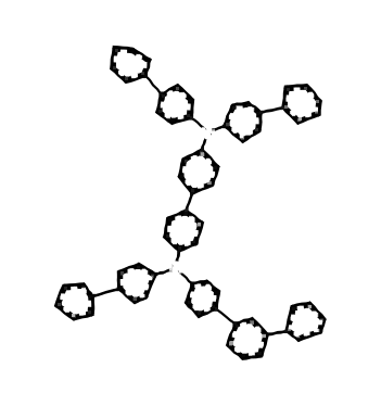 c1ccc(-c2ccc(N(c3ccc(-c4ccccc4)cc3)c3ccc(-c4ccc(N(c5ccc(-c6ccccc6)cc5)c5ccc(-c6cccc(-c7ccccc7)c6)cc5)cc4)cc3)cc2)cc1